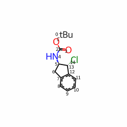 CC(C)(C)OC(=O)N[C@@H]1Cc2ccccc2[C@H]1Cl